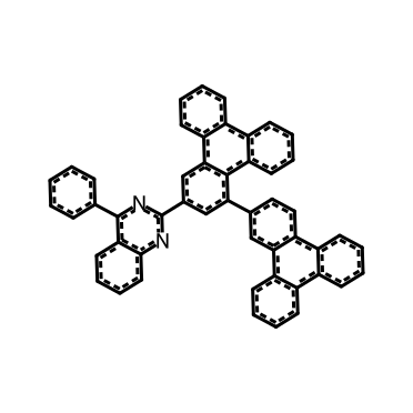 c1ccc(-c2nc(-c3cc(-c4ccc5c6ccccc6c6ccccc6c5c4)c4c5ccccc5c5ccccc5c4c3)nc3ccccc23)cc1